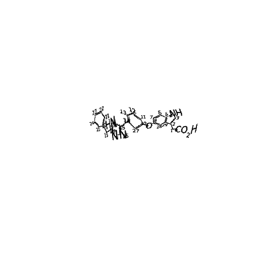 O=C(O)Cc1c[nH]c2ccc(Oc3cccc(-c4nnc(Cc5ccccc5)[nH]4)c3)cc12